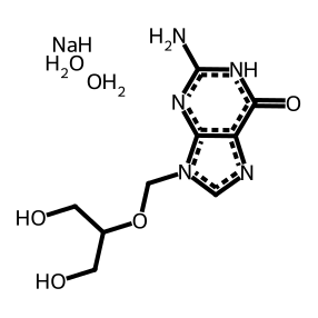 Nc1nc2c(ncn2COC(CO)CO)c(=O)[nH]1.O.O.[NaH]